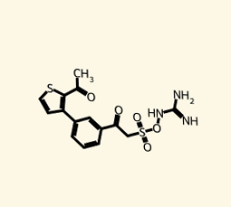 CC(=O)c1sccc1-c1cccc(C(=O)CS(=O)(=O)ONC(=N)N)c1